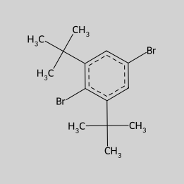 CC(C)(C)c1cc(Br)cc(C(C)(C)C)c1Br